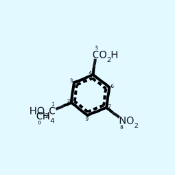 C.O=C(O)c1cc(C(=O)O)cc([N+](=O)[O-])c1